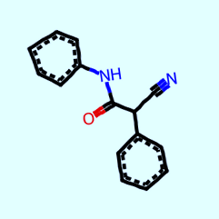 N#CC(C(=O)Nc1ccccc1)c1ccccc1